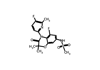 Cc1nc(N2C(=O)C(C)(C)Oc3cc(NS(C)(=O)=O)cc(F)c32)ccc1F